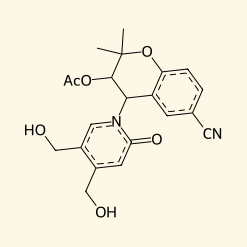 CC(=O)OC1C(n2cc(CO)c(CO)cc2=O)c2cc(C#N)ccc2OC1(C)C